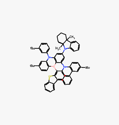 CC(C)(C)c1cccc(N2c3cc(C(C)(C)C)ccc3B3c4c2cc(N2c5ccccc5C5(C)CCCCC25C)cc4N(c2ccc(C(C)(C)C)cc2-c2ccccc2)c2ccc4c(sc5ccccc54)c23)c1